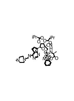 COC(=O)[C@H](C)NP(=O)(OC[C@@]1(C#N)O[C@@H](c2ccc3c(/N=C/N4CCN(C)CC4)ncnn23)[C@H](OC(=O)C(C)C)[C@@H]1OC(=O)C(C)C)Oc1ccccc1